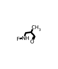 CC(C=O)CNF